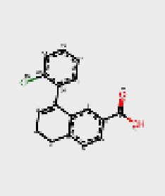 O=C(O)c1ccc2c(c1)C(c1ccccc1Cl)=CCC2